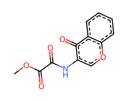 COC(=O)C(=O)Nc1coc2ccccc2c1=O